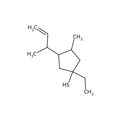 C=CC(C)C1CC(S)(CC)CC1C